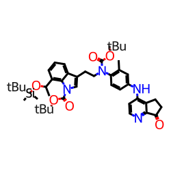 Cc1cc(Nc2ccnc3c2CCC3=O)ccc1N(CCc1cn(C(=O)OC(C)(C)C)c2c(C(C)O[Si](C)(C)C(C)(C)C)cccc12)C(=O)OC(C)(C)C